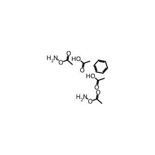 CC(=O)O.CC(=O)O.CC(=O)ON.CC(=O)ON.c1ccccc1